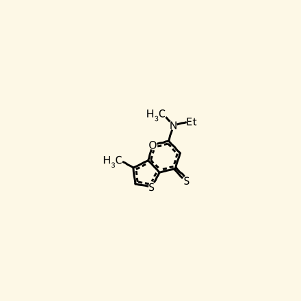 CCN(C)c1cc(=S)c2scc(C)c2o1